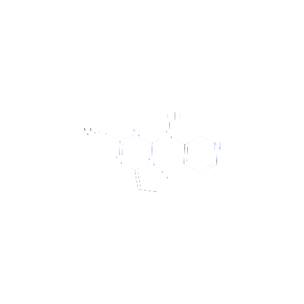 CSc1nc(N(C)c2cccnc2)n2nccc2n1